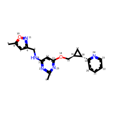 Cc1nc(NCc2cc(C)on2)cc(OC[C@H]2C[C@@H]2c2ccccn2)n1